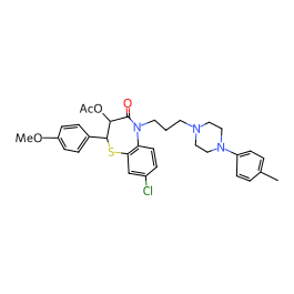 COc1ccc(C2Sc3cc(Cl)ccc3N(CCCN3CCN(c4ccc(C)cc4)CC3)C(=O)C2OC(C)=O)cc1